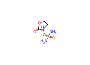 NS(N)(=O)=O.O=C1NCCO1